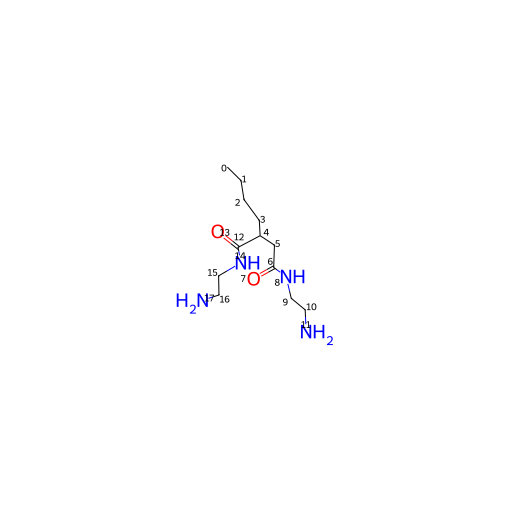 CCCCC(CC(=O)NCCN)C(=O)NCCN